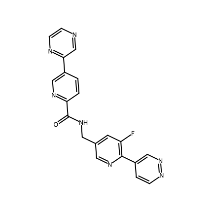 O=C(NCc1cnc(-c2ccnnc2)c(F)c1)c1ccc(-c2cnccn2)cn1